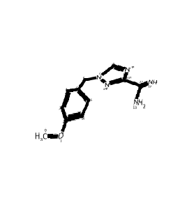 COc1ccc(Cn2cnc(C(=N)N)n2)cc1